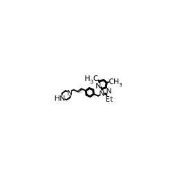 CCc1nc2c(C)cc(C)nc2n1Cc1ccc(/C=C/CN2CCNCC2)cc1